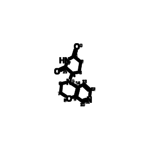 O=C1CCC(N2CCOc3cnccc32)C(=O)N1